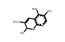 CCOC(=O)C1=Cc2c(ncc([N+](=O)[O-])c2NC)NC1O